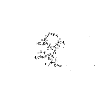 COc1ccc2c(OC3CC4C(=O)NC5(C(=O)O)CC5/C=C\CCCCN(C)C(=O)C4C3)cc(-c3cccc(C)n3)nc2c1C